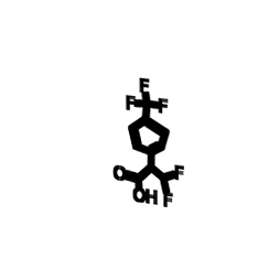 O=C(O)C(c1ccc(C(F)(F)F)cc1)C(F)F